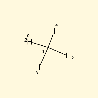 [2H]C(I)(I)I